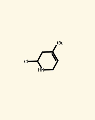 CC(C)(C)C1=CCNC(Cl)C1